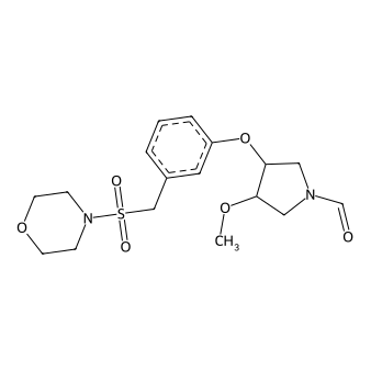 COC1CN(C=O)CC1Oc1cccc(CS(=O)(=O)N2CCOCC2)c1